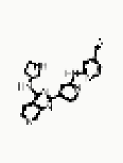 N#Cc1ccnc(Nc2cc(-c3nc(NC4CCNC4)c4ccncc4n3)ccn2)c1